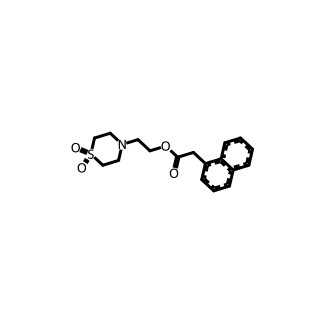 O=C(Cc1cccc2ccccc12)OCCN1CCS(=O)(=O)CC1